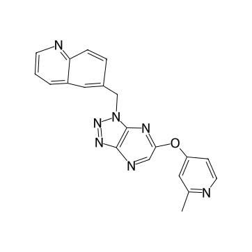 Cc1cc(Oc2cnc3nnn(Cc4ccc5ncccc5c4)c3n2)ccn1